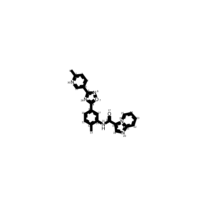 Cc1ccc(-c2noc(-c3ccc(C)c(NC(=O)c4cnc5ccccn45)c3)n2)cn1